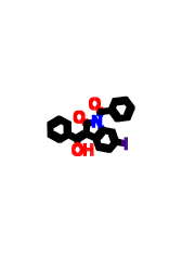 O=C1/C(=C(/O)c2ccccc2)c2ccc(I)cc2N1C(=O)c1ccccc1